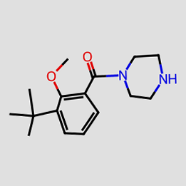 COc1c(C(=O)N2CCNCC2)cccc1C(C)(C)C